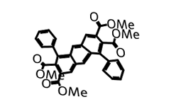 COC(=O)c1cc2cc3c(-c4ccccc4)c(C(=O)OC)c(C(=O)OC)cc3cc2c(-c2ccccc2)c1C(=O)OC